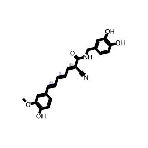 COc1cc(/C=C/C=C/C=C(\C#N)C(=O)NCc2ccc(O)c(O)c2)ccc1O